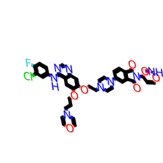 O=C1c2ccc(N3CCN(CCOc4cc5ncnc(Nc6ccc(F)c(Cl)c6)c5cc4OCCCN4C=COC=C4)CC3)cc2C(=O)N1C1C=CONO1